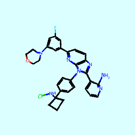 Nc1ncccc1-c1nc2ccc(-c3cc(F)cc(N4CCOCC4)c3)nc2n1-c1ccc(C2(NCl)CCC2)cc1